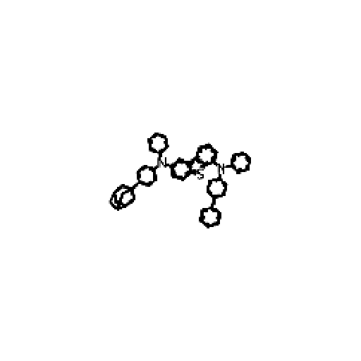 c1ccc(-c2ccc(N(c3ccccc3)c3cccc4c3sc3ccc(N(c5ccccc5)c5ccc(C67CC8CC(C6)C(C8)C7)cc5)cc34)cc2)cc1